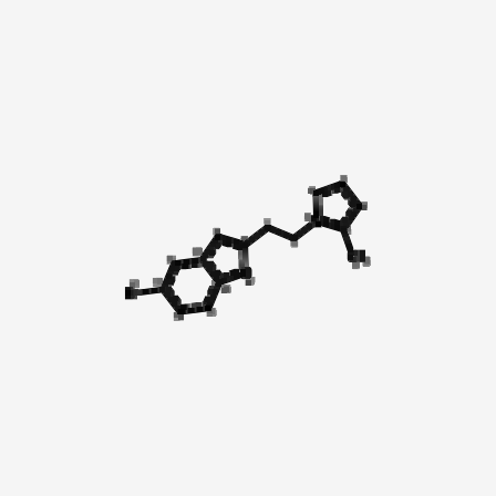 Cc1cccn1CCc1cc2cc(Br)ccc2o1